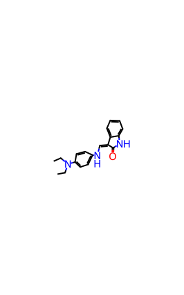 CCN(CC)c1ccc(NC=C2C(=O)Nc3ccccc32)cc1